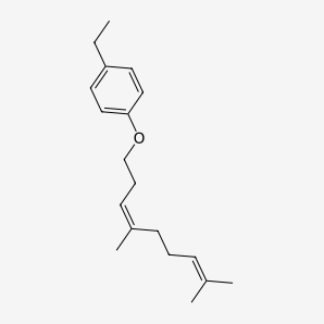 CCc1ccc(OCCC=C(C)CCC=C(C)C)cc1